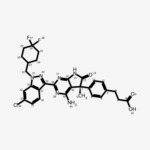 C[C@]1(c2ccc(CCC(=O)O)cc2)C(=O)Nc2nc(-c3nn(CC4CCC(F)(F)CC4)c4cc(Cl)ccc34)nc(N)c21